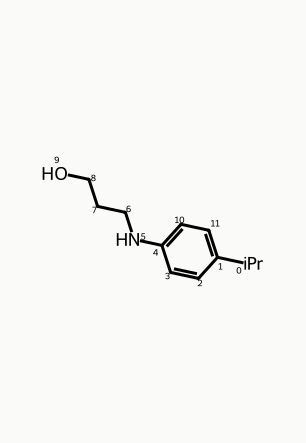 CC(C)c1ccc(NCCCO)cc1